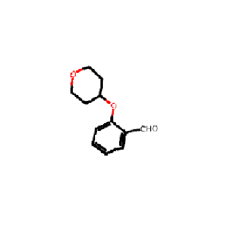 O=Cc1ccccc1OC1CCOCC1